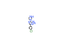 Clc1ccc(-c2cnc(N3CCNCC3)c3nncn23)cc1